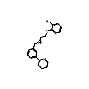 CC(C)c1ccccc1NCCNCc1cccc(C2CCCC[N]2)c1